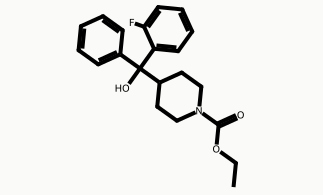 CCOC(=O)N1CCC(C(O)(c2ccccc2)c2ccccc2F)CC1